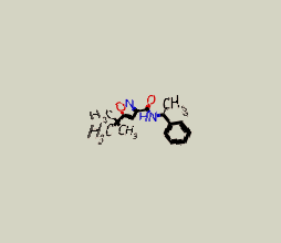 C[C@@H](NC(=O)c1cc(C(C)(C)C)on1)c1ccccc1